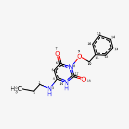 CCCNc1cc(=O)n(OCc2ccccc2)c(=O)[nH]1